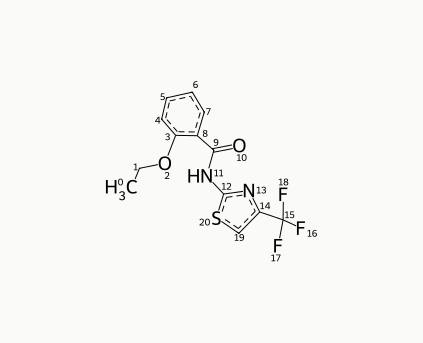 CCOc1ccccc1C(=O)Nc1nc(C(F)(F)F)cs1